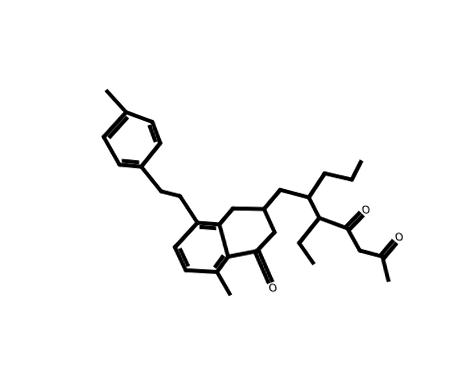 CCCC(CC1CC(=O)c2c(C)ccc(CCc3ccc(C)cc3)c2C1)C(CC)C(=O)CC(C)=O